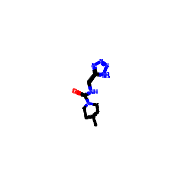 CC1CCN(C(=O)NCc2nnn[nH]2)CC1